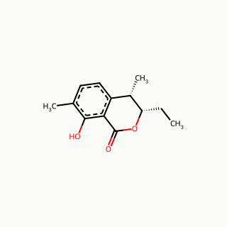 CC[C@@H]1OC(=O)c2c(ccc(C)c2O)[C@@H]1C